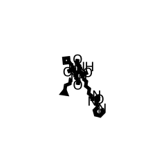 O=c1c2[nH]c(=O)n(C3CCC3)c(=O)c2n(CCCC2=CC2)c(=O)n1CCCCc1noc(-c2ccccn2)n1